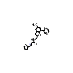 Cc1cc2c(c(-c3cnccn3)c1)OC(CNC(=O)/C=C/c1cccs1)C2